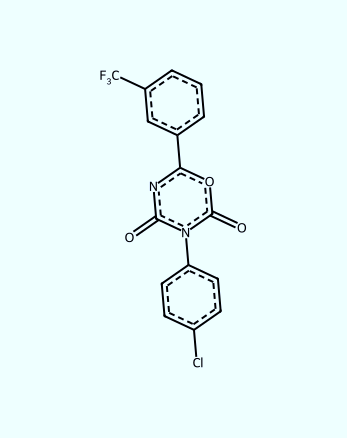 O=c1nc(-c2cccc(C(F)(F)F)c2)oc(=O)n1-c1ccc(Cl)cc1